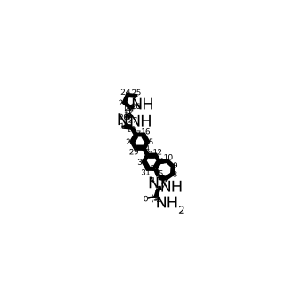 C[C@H](N)c1nc2c([nH]1)CCCc1cc(-c3ccc(-c4cnc([C@@H]5CCCN5)[nH]4)cc3)ccc1-2